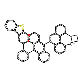 Cc1cccc2c(-c3c4ccccc4c(-c4ccccc4-c4ccc5sc6ccccc6c5c4)c4ccccc34)cc3cccc(C4CCC4)c3c12